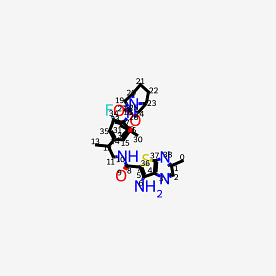 Cc1cnc2c(N)c(C(=O)NCC(C)c3ccc(N4CC5CCC(C4)N5C(=O)OC(C)(C)C)c(F)c3)sc2n1